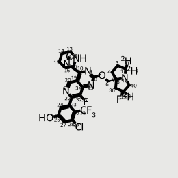 [2H]C1([2H])CC[C@@]2(COc3nc(N4CC5CCC4CN5)c4cnc(-c5cc(O)cc(Cl)c5C(F)(F)F)c(F)c4n3)C[C@@]([2H])(F)CN12